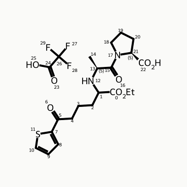 CCOC(=O)C(CCCC(=O)c1cccs1)N[C@@H](C)C(=O)N1CCC[C@H]1C(=O)O.O=C(O)C(F)(F)F